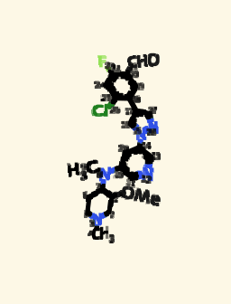 COC1CN(C)CCC1N(C)c1cncc(-n2cc(-c3cc(C=O)c(F)cc3Cl)cn2)c1